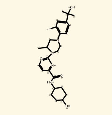 CC1CN(c2ccc(C(C)(C)O)cc2F)CCN1c1nccc(C(=O)NC2CCC(O)CC2)n1